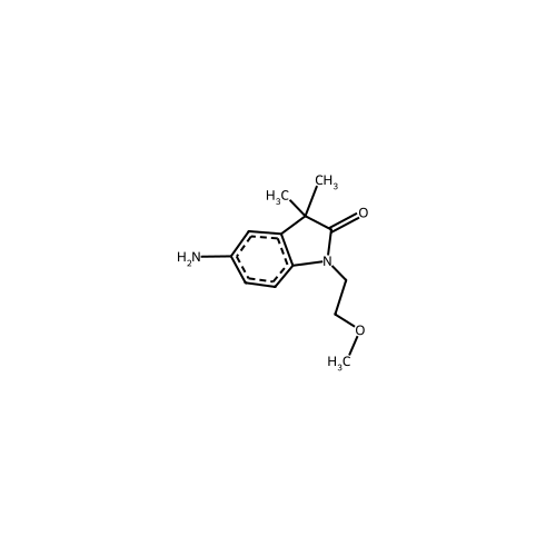 COCCN1C(=O)C(C)(C)c2cc(N)ccc21